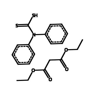 CCOC(=O)CC(=O)OCC.S=C(S)N(c1ccccc1)c1ccccc1